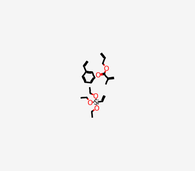 C=CCOC(=O)C(=C)C.C=C[Si](OCC)(OCC)OCC.C=Cc1ccccc1